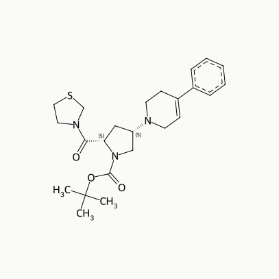 CC(C)(C)OC(=O)N1C[C@@H](N2CC=C(c3ccccc3)CC2)C[C@H]1C(=O)N1CCSC1